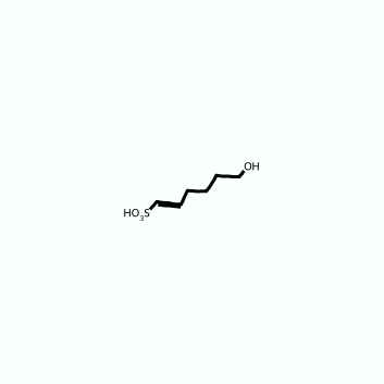 O=S(=O)(O)C=CCCCCO